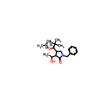 CC(O)C1C(=O)N(Cc2ccccc2)CC1C(O[SiH](C)C)C(C)(C)C